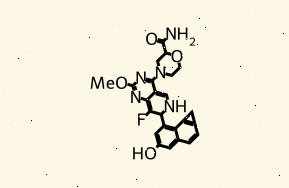 COc1nc(N2CCOC(C(N)=O)C2)c2c(n1)=C(F)C(c1cc(O)cc3ccc4c(c13)C4)NC=2